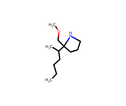 CCCCC(C)C1(COC)CCCN1